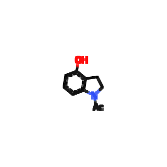 CC(=O)N1CCc2c(O)cccc21